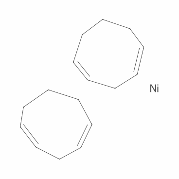 C1=CCCCC=CC1.C1=CCCCC=CC1.[Ni]